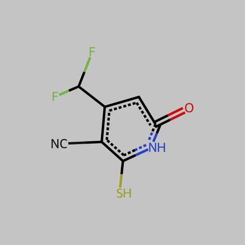 N#Cc1c(C(F)F)cc(=O)[nH]c1S